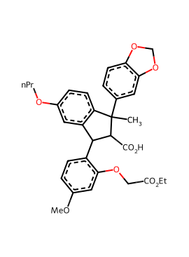 CCCOc1ccc2c(c1)C(c1ccc(OC)cc1OCC(=O)OCC)C(C(=O)O)C2(C)c1ccc2c(c1)OCO2